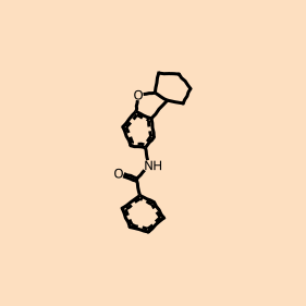 O=C(Nc1ccc2c(c1)C1CCCCC1O2)c1ccccc1